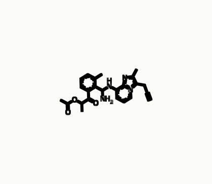 C#CCc1c(C)nc2c(NC(N)c3c(C)cccc3C(=O)C(C)OC(C)=O)cccn12